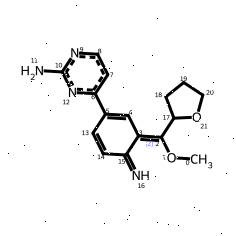 CO/C(=C1/C=C(c2ccnc(N)n2)C=CC1=N)C1CCCO1